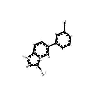 Fc1cccc(-c2ccc3nnc(S)n3n2)c1